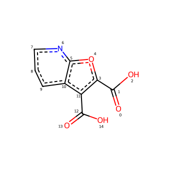 O=C(O)c1oc2ncccc2c1C(=O)O